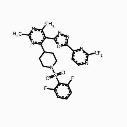 Cc1nc(C)c(-c2nnc(-c3ccnc(C(F)(F)F)n3)o2)c(C2CCN(S(=O)(=O)c3c(F)cccc3F)CC2)n1